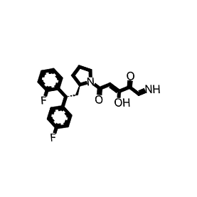 N=CC(=O)/C(O)=C/C(=O)N1CCC[C@@H]1C[C@H](c1ccc(F)cc1)c1ccccc1F